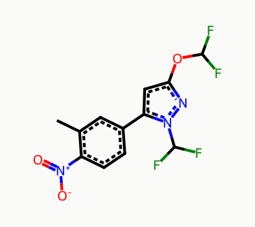 Cc1cc(-c2cc(OC(F)F)nn2C(F)F)ccc1[N+](=O)[O-]